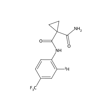 [2H]c1cc(C(F)(F)F)ccc1NC(=O)C1(C(N)=O)CC1